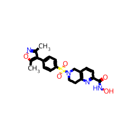 Cc1noc(C)c1-c1ccc(S(=O)(=O)N2CCc3nc(C(=O)NO)ccc3C2)cc1